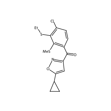 CCSc1c(Cl)ccc(C(=O)c2cc(C3CC3)on2)c1SC